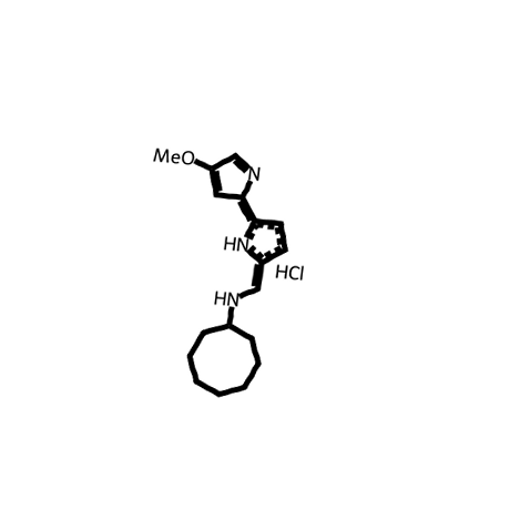 COC1=CC(=c2ccc(=CNC3CCCCCCC3)[nH]2)N=C1.Cl